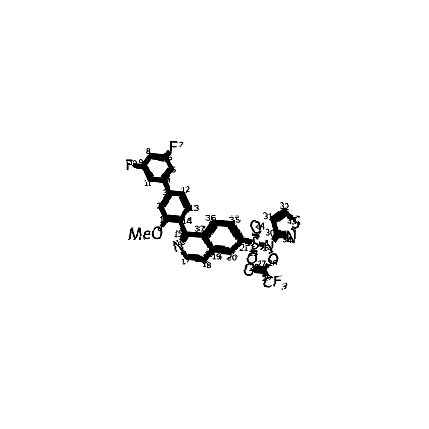 COc1cc(-c2cc(F)cc(F)c2)ccc1-c1nccc2cc(S(=O)(=O)N(OC(=O)C(F)(F)F)c3ccsn3)ccc12